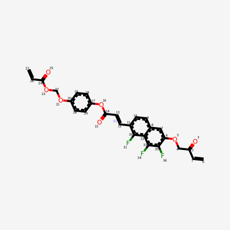 C=CC(=O)COc1cc2ccc(/C=C/C(=O)Oc3ccc(OCOC(=O)C=C)cc3)c(F)c2c(F)c1F